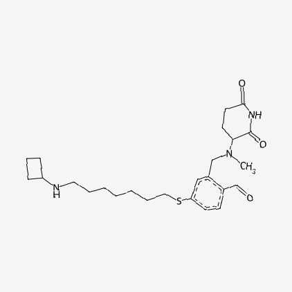 CN(Cc1cc(SCCCCCCCNC2CCC2)ccc1C=O)C1CCC(=O)NC1=O